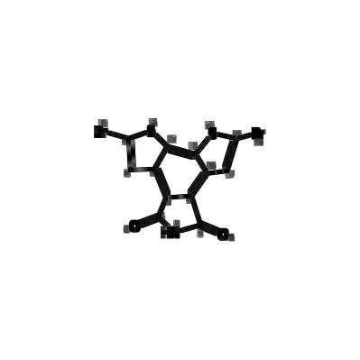 O=C1NC(=O)c2c1c1cc(Br)sc1c1sc(Br)cc21